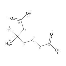 CC(S)(CSCC(=O)O)CC(=O)O